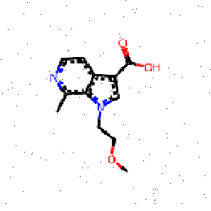 COCCn1cc(C(=O)O)c2ccnc(C)c21